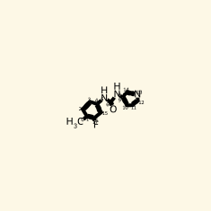 Cc1ccc(NC(=O)Nc2cccnc2)cc1F